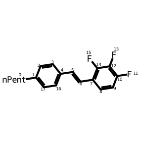 CCCCCc1ccc(C=Cc2ccc(F)c(F)c2F)cc1